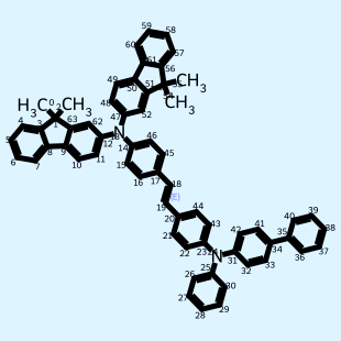 CC1(C)c2ccccc2-c2ccc(N(c3ccc(/C=C/c4ccc(N(c5ccccc5)c5ccc(-c6ccccc6)cc5)cc4)cc3)c3ccc4c(c3)C(C)(C)c3ccccc3-4)cc21